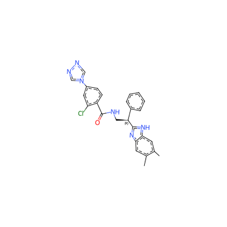 Cc1cc2nc([C@@H](CNC(=O)c3ccc(-n4cnnc4)cc3Cl)c3ccccc3)[nH]c2cc1C